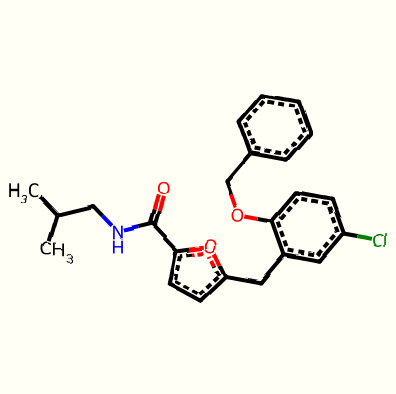 CC(C)CNC(=O)c1ccc(Cc2cc(Cl)ccc2OCc2ccccc2)o1